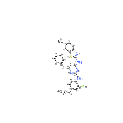 CCc1ccc2nc(Nc3cc(Cc4ccccc4)nc(Nc4ccc(CC(=O)O)cc4F)n3)sc2c1